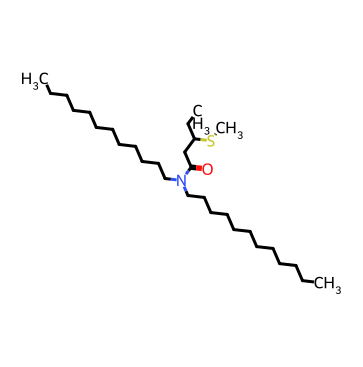 CCCCCCCCCCCCN(CCCCCCCCCCCC)C(=O)CC(CC)SC